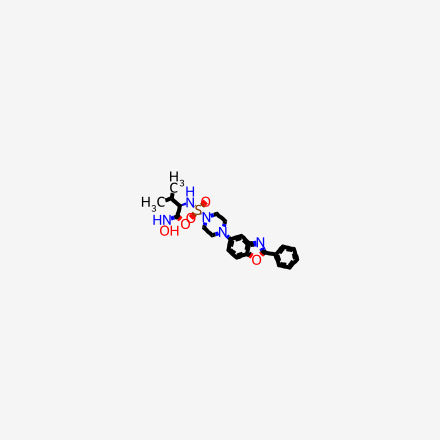 CC(C)[C@@H](NS(=O)(=O)N1CCN(c2ccc3oc(-c4ccccc4)nc3c2)CC1)C(=O)NO